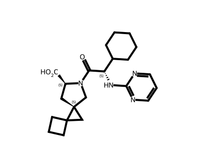 O=C(O)[C@@H]1C[C@@]2(CN1C(=O)[C@@H](Nc1ncccn1)C1CCCCC1)CC21CCC1